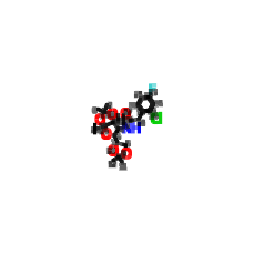 CC1(C)O[C@H]2O[C@H]([C@H]3COC(C)(C)O3)[C@@H](NC(=O)Cc3ccc(F)cc3Cl)[C@H]2O1